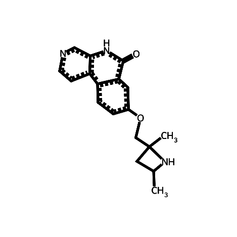 CC1CC(C)(COc2ccc3c(c2)c(=O)[nH]c2cnccc23)N1